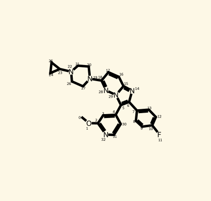 COc1cc(-c2c(-c3ccc(F)cc3)nc3ccc(N4CCN(C5CC5)CC4)nn23)ccn1